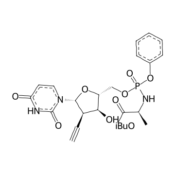 C#C[C@@H]1[C@H](O)[C@@H](COP(=O)(N[C@@H](C)C(=O)OCC(C)C)Oc2ccccc2)O[C@H]1n1ccc(=O)[nH]c1=O